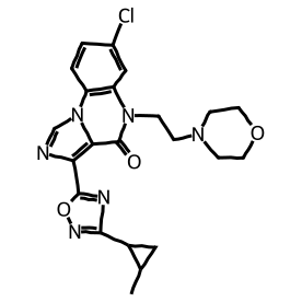 CC1CC1c1noc(-c2ncn3c2c(=O)n(CCN2CCOCC2)c2cc(Cl)ccc23)n1